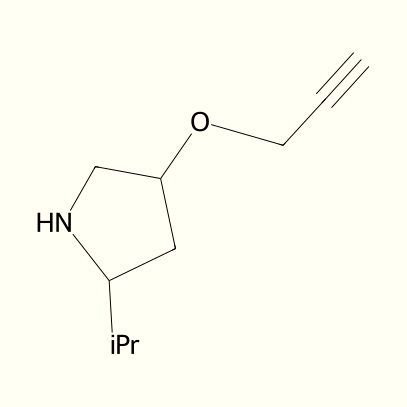 C#CCOC1CNC(C(C)C)C1